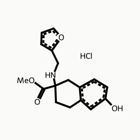 COC(=O)C1(NCc2ccco2)CCc2cc(O)ccc2C1.Cl